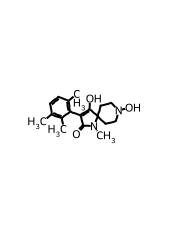 Cc1ccc(C)c(C2=C(O)C3(CCN(O)CC3)N(C)C2=O)c1C